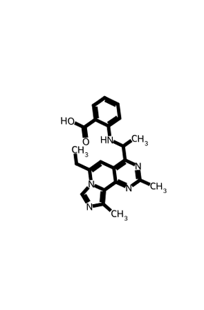 CCc1cc2c(C(C)Nc3ccccc3C(=O)O)nc(C)nc2c2c(C)ncn12